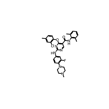 Cc1ccc(Oc2nc(Nc3ccc(N4CCN(C)CC4)c(F)c3)ncc2C(=O)Nc2c(C)cccc2C)c(Cl)c1